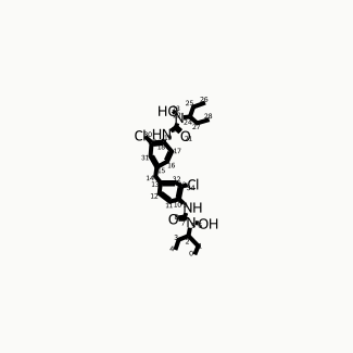 CCC(CC)N(O)C(=O)Nc1ccc(Cc2ccc(NC(=O)N(O)C(CC)CC)c(Cl)c2)cc1Cl